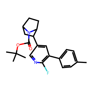 Cc1ccc(-c2cc(C3CC4CCC3N4C(=O)OC(C)(C)C)cnc2F)cc1